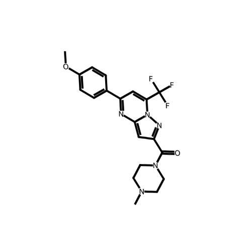 COc1ccc(-c2cc(C(F)(F)F)n3nc(C(=O)N4CCN(C)CC4)cc3n2)cc1